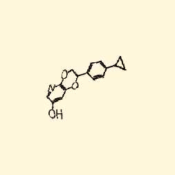 Oc1cnc2c(c1)OC(c1ccc(C3CC3)cc1)CO2